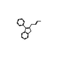 C/C=C/CC1=C(c2ccccc2)c2ccccc2C1